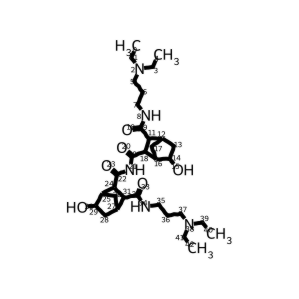 CCN(CC)CCCNC(=O)C1C2CC(O)C(C2)C1C(=O)NC(=O)C1C2CC(CC2O)C1C(=O)NCCCN(CC)CC